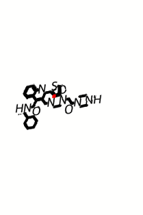 C[C@H](NC(=O)c1c(CN2CCN(CC(=O)N3CCNCC3)C(=O)C2)c(-c2cccs2)nc2ccccc12)C1CCCCC1